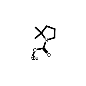 CC(C)(C)OC(=O)N1CCCC1(C)C